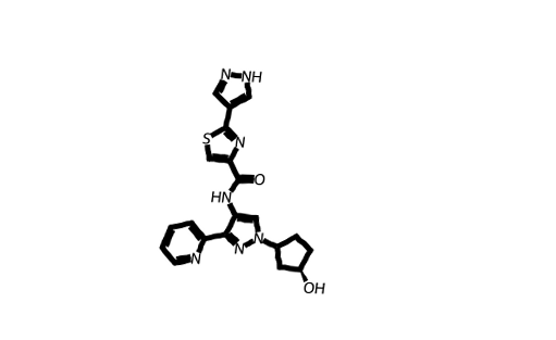 O=C(Nc1cn(C2CC[C@@H](O)C2)nc1-c1ccccn1)c1csc(-c2cn[nH]c2)n1